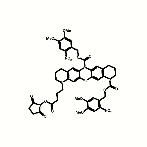 COc1cc(COC(=O)N2CCCc3cc4c(cc32)Oc2cc3c(cc2N4C(=O)OCc2cc(OC)c(OC)cc2[N+](=O)[O-])CCCN3CCCC(=O)ON2C(=O)CCC2=O)c([N+](=O)[O-])cc1OC